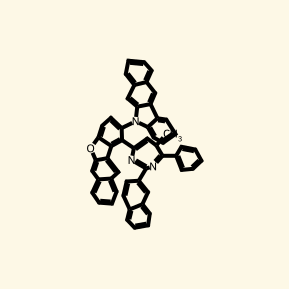 CC1C=C(c2c(-n3c4ccccc4c4cc5ccccc5cc43)ccc3oc4cc5ccccc5cc4c23)N=C(c2ccc3ccccc3c2)N=C1c1ccccc1